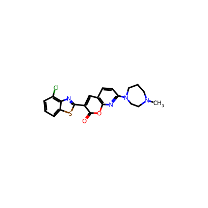 CN1CCCN(c2ccc3cc(-c4nc5c(Cl)cccc5s4)c(=O)oc3n2)CC1